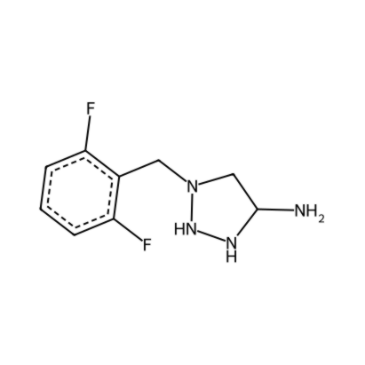 NC1CN(Cc2c(F)cccc2F)NN1